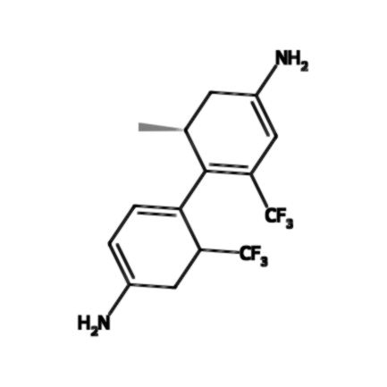 C[C@@H]1CC(N)=CC(C(F)(F)F)=C1C1=CC=C(N)CC1C(F)(F)F